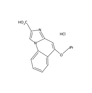 CC(C)Oc1cc2nc(C(=O)O)cn2c2ccccc12.Cl